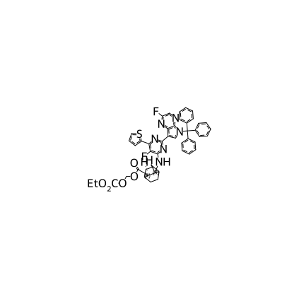 CCOC(=O)OCOC(=O)[C@@H]1C2CCC(CC2)[C@H]1Nc1nc(-c2cn(C(c3ccccc3)(c3ccccc3)c3ccccc3)c3ncc(F)nc23)nc(-c2cccs2)c1F